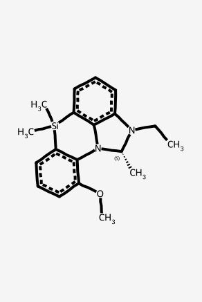 CCN1c2cccc3c2N(c2c(OC)cccc2[Si]3(C)C)[C@H]1C